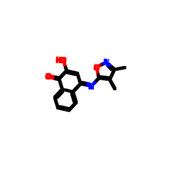 Cc1noc(N=C2C=C(O)C(=O)c3ccccc32)c1C